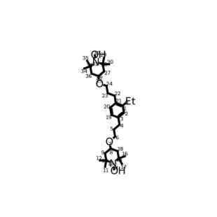 CCc1cc(CCCOC2CC(C)(C)N(O)C(C)(C)C2)ccc1CCCOC1CC(C)(C)N(O)C(C)(C)C1